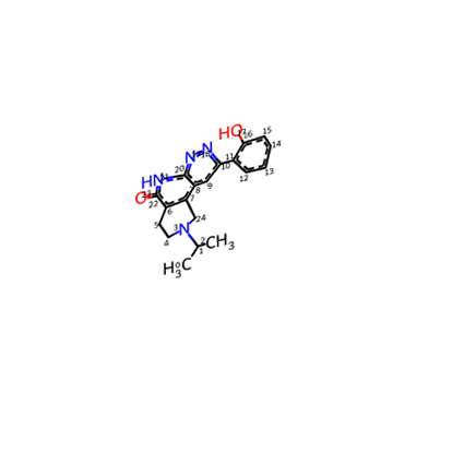 CC(C)N1CCc2c(c3cc(-c4ccccc4O)nnc3[nH]c2=O)C1